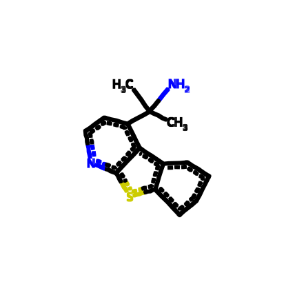 CC(C)(N)c1ccnc2sc3ccccc3c12